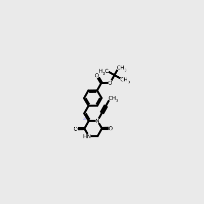 CC#CN1C(=O)CNC(=O)/C1=C/c1ccc(C(=O)OC(C)(C)C)cc1